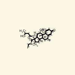 C[C@H](O)CC(=O)O[C@]1(C(=O)SCF)[C@H](C)C[C@H]2[C@@H]3C[C@H](F)C4=CC(=O)C=C[C@]4(C)[C@@]3(F)[C@@H](O)C[C@@]21C